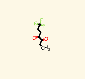 CCC(=O)C(=O)CCC(F)(F)F